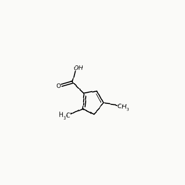 CC1=CC(C(=O)O)=C(C)C1